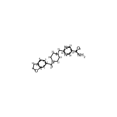 CC(c1ccc2c(c1)OCC2)N1CCN(Cc2ncc(C(N)=O)cn2)CC1